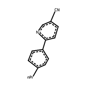 CCCc1ccc(-c2ccc(C#N)cn2)cc1